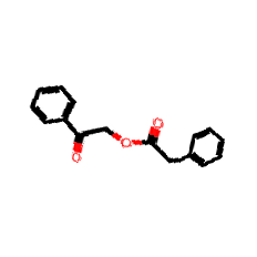 O=C(Cc1ccccc1)OCC(=O)c1ccccc1